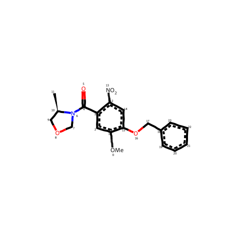 COc1cc(C(=O)N2COC[C@H]2C)c([N+](=O)[O-])cc1OCc1ccccc1